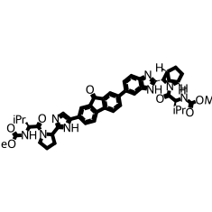 COC(=O)N[C@H](C(=O)N1CCCC1c1ncc(-c2ccc3c(c2)C(=O)c2cc(-c4ccc5nc([C@@H]6[C@H]7CC[C@H](C7)N6C(=O)[C@@H](NC(=O)OC)C(C)C)[nH]c5c4)ccc2-3)[nH]1)C(C)C